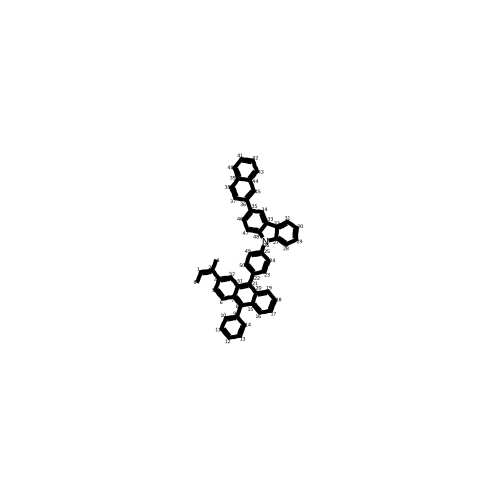 C/C=C(/C)c1ccc2c(-c3ccccc3)c3ccccc3c(-c3ccc(-n4c5ccccc5c5cc(-c6ccc7ccccc7c6)ccc54)cc3)c2c1